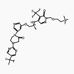 C[C@@H](COc1cncc(N2CCN(c3ncc(C(F)(F)F)cn3)CC2=O)c1)Nc1cnn(COCC[Si](C)(C)C)c(=O)c1C(F)(F)F